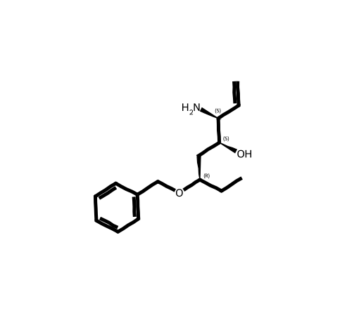 C=C[C@H](N)[C@@H](O)C[C@@H](CC)OCc1ccccc1